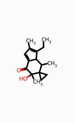 CCC1=C(C)C=C2C(=O)C(C)(O)C3(CC3)C(C)C21